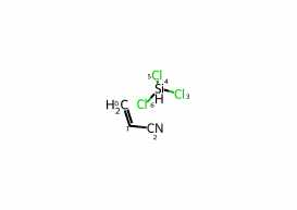 C=CC#N.Cl[SiH](Cl)Cl